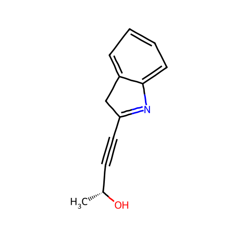 C[C@@H](O)C#CC1=Nc2ccccc2C1